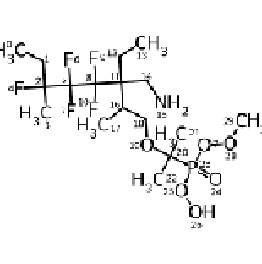 CCC(C)(F)C(F)(F)C(F)(F)C(CC)(CN)C(C)COC(C)(C)P(=O)(OO)OOC